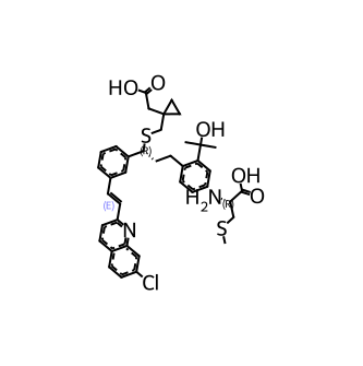 CC(C)(O)c1ccccc1CC[C@@H](SCC1(CC(=O)O)CC1)c1cccc(/C=C/c2ccc3ccc(Cl)cc3n2)c1.CSC[C@H](N)C(=O)O